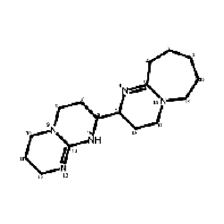 C1CCC2=NC(C3CCN4CCCN=C4N3)CCN2CC1